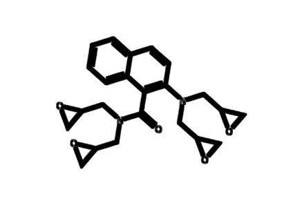 O=C(c1c(N(CC2CO2)CC2CO2)ccc2ccccc12)N(CC1CO1)CC1CO1